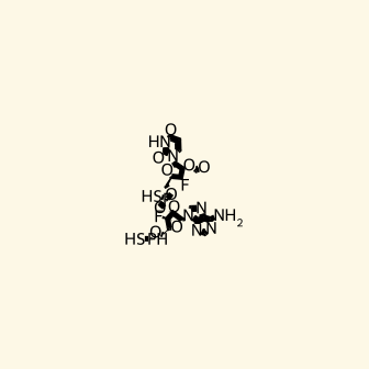 Nc1ncnc2c1ncn2[C@@H]1O[C@H](COPS)[C@@H](F)[C@H]1OP(=O)(S)OC[C@H]1O[C@@H](n2ccc(=O)[nH]c2=O)[C@H](OC=O)[C@@H]1F